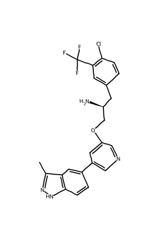 Cc1n[nH]c2ccc(-c3cncc(OC[C@@H](N)Cc4ccc(Cl)c(C(F)(F)F)c4)c3)cc12